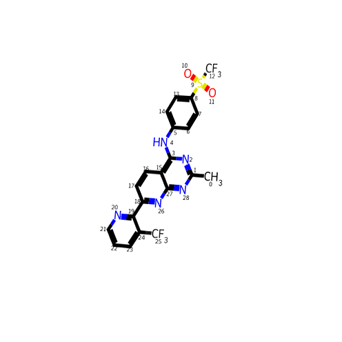 Cc1nc(Nc2ccc(S(=O)(=O)C(F)(F)F)cc2)c2ccc(-c3ncccc3C(F)(F)F)nc2n1